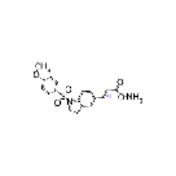 COc1ccc(S(=O)(=O)n2ccc3cc(/C=C/C(=O)ON)ccc32)cc1